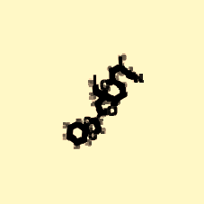 C[C@@H](C#N)CC1CCC2OC([C@H]3COC4(CCCCC4)O3)CC2(CI)O1